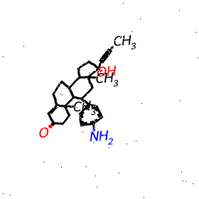 CC#CC1(O)CCC2C3CCC4=CC(=O)CCC4(C)C3C(c3ccc(N)cc3)CC21C